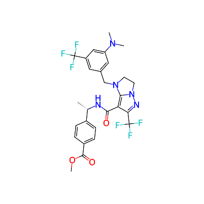 COC(=O)c1ccc([C@H](C)NC(=O)c2c(C(F)(F)F)nn3c2N(Cc2cc(N(C)C)cc(C(F)(F)F)c2)CC3)cc1